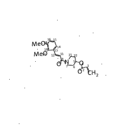 C=CC(=O)OC1CCN(C(=O)/C=C/c2cccc(OC)c2OC)CC1